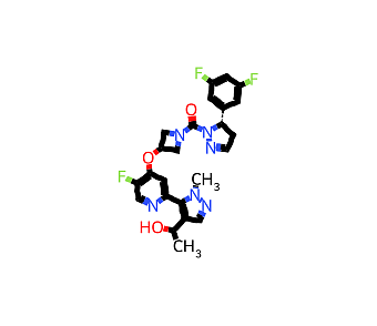 CC(O)c1cnn(C)c1-c1cc(OC2CN(C(=O)N3N=CC[C@H]3c3cc(F)cc(F)c3)C2)c(F)cn1